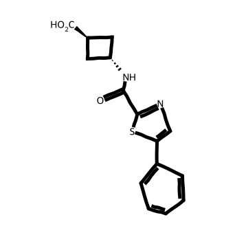 O=C(N[C@H]1C[C@H](C(=O)O)C1)c1ncc(-c2ccccc2)s1